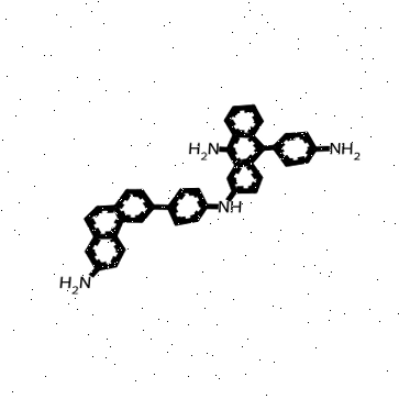 Nc1ccc(-c2c3ccccc3c(N)c3cc(Nc4ccc(-c5ccc6ccc7cc(N)ccc7c6c5)cc4)ccc23)cc1